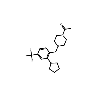 CC(=O)N1CCN(Cc2ccc(C(F)(F)F)cc2N2CCCC2)CC1